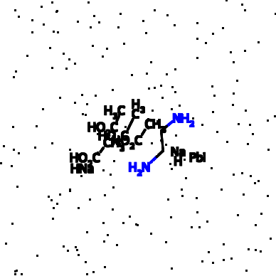 CC(=O)O.CC(=O)O.CC(=O)O.CC(=O)O.NCCN.[NaH].[NaH].[Pb]